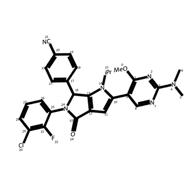 COc1nc(N(C)C)ncc1-c1cc2c(n1C(C)C)C(c1ccc(C#N)cc1)N(c1cccc(Cl)c1F)C2=O